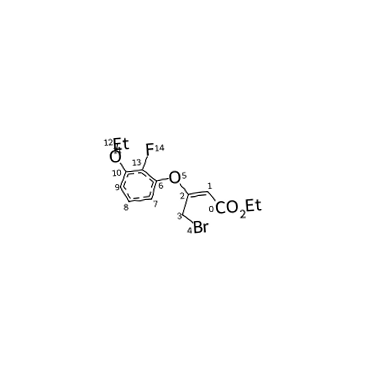 CCOC(=O)/C=C(\CBr)Oc1cccc(OCC)c1F